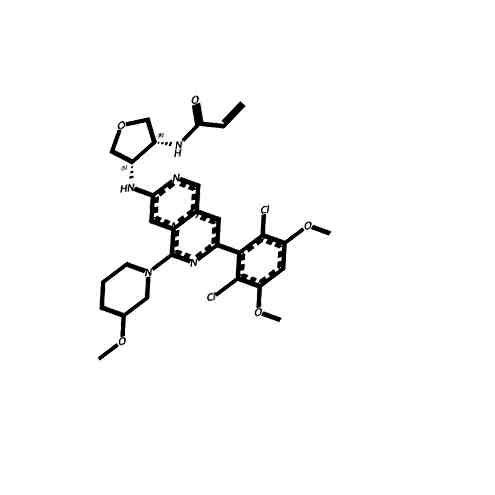 C=CC(=O)N[C@H]1COC[C@H]1Nc1cc2c(N3CCCC(OC)C3)nc(-c3c(Cl)c(OC)cc(OC)c3Cl)cc2cn1